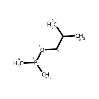 CC(C)COP(C)C